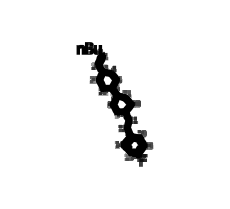 CCCC/C=C/C1CCC(C2CCC(CCc3ccc(F)cc3)CC2)CC1